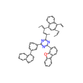 C=Cc1c(/C=C\C)cc(C(/C=C(\C)c2nc(-c3cccc(-c4cccc5ccccc45)c3)nc(-c3cccc4c3oc3ccccc34)n2)=C/C)c2ccccc12